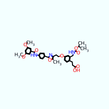 COc1cc(OC)cc(C(=O)Nc2ccc(-c3nc(CCOc4ccc(CCC(=O)O)c(CNC(=O)OC(C)C)c4)c(C)o3)cc2)c1